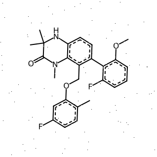 COc1cccc(F)c1-c1ccc2c(c1COc1cc(F)ccc1C)N(C)C(=O)C(C)(C)N2